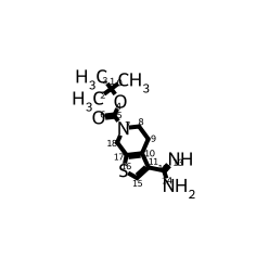 CC(C)(C)OC(=O)N1CCc2c(C(=N)N)csc2C1